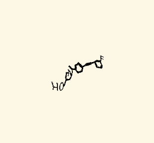 C=C(c1ccc(C#Cc2cccc(F)c2)cc1)N1CCC(CO)CC1